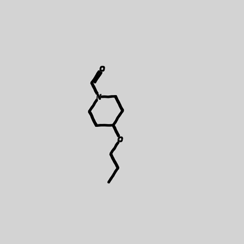 CCCOC1CCN(C=O)CC1